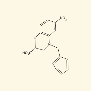 O=C(O)C1CN(Cc2ccccc2)c2cc([N+](=O)[O-])ccc2O1